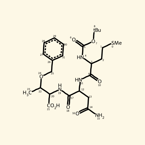 CSCCC(NC(=O)OC(C)(C)C)C(=O)NC(CC(N)=O)C(=O)NC(C(=O)O)C(C)OCc1ccccc1